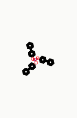 c1ccc(-c2ccc(OP(Oc3ccc(-c4ccccc4)cc3)Oc3ccc(-c4ccccc4)cc3)cc2)cc1